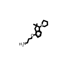 CC1(C)Cc2c(OCCCN)cccc2C1N1CCCCC1